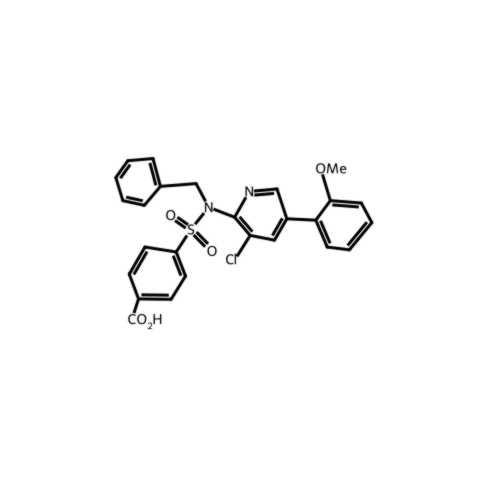 COc1ccccc1-c1cnc(N(Cc2ccccc2)S(=O)(=O)c2ccc(C(=O)O)cc2)c(Cl)c1